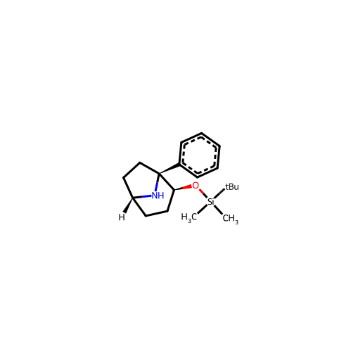 CC(C)(C)[Si](C)(C)O[C@H]1CC[C@@H]2CC[C@@]1(c1ccccc1)N2